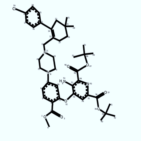 COC(=O)c1ccc(N2CCN(CC3=C(c4ccc(Cl)cc4)CC(C)(C)CC3)CC2)cc1Oc1cc(C(=O)OC(C)(C)C)nc(C(=O)OC(C)(C)C)c1N